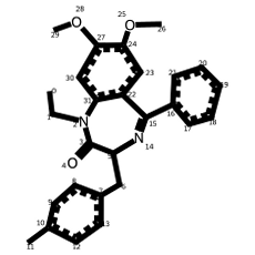 CCN1C(=O)C(Cc2ccc(C)cc2)N=C(c2ccccc2)c2cc(OC)c(OC)cc21